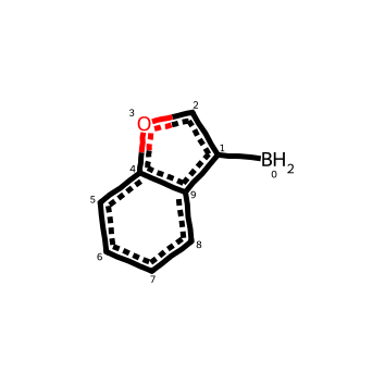 Bc1coc2ccccc12